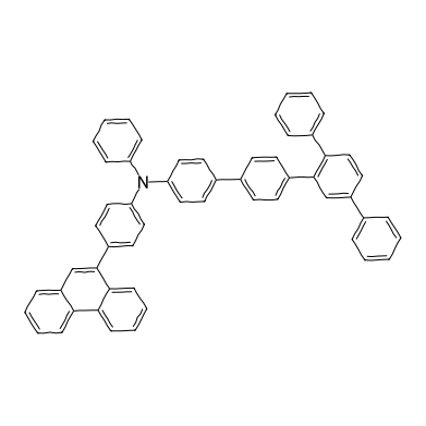 c1ccc(-c2ccc(-c3ccccc3)c(-c3ccc(-c4ccc(N(c5ccccc5)c5ccc(-c6cc7ccccc7c7ccccc67)cc5)cc4)cc3)c2)cc1